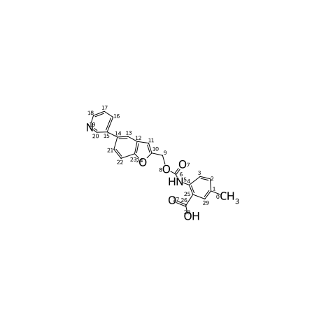 Cc1ccc(NC(=O)OCc2cc3cc(-c4cccnc4)ccc3o2)c(C(=O)O)c1